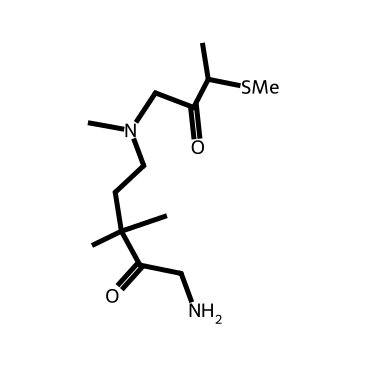 CSC(C)C(=O)CN(C)CCC(C)(C)C(=O)CN